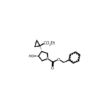 CCOC(=O)C1([C@@H]2CN(C(=O)OCc3ccccc3)C[C@H]2O)CC1